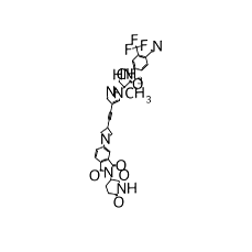 CCC(C)(C(=O)Nc1ccc(C#N)c(C(F)(F)F)c1)n1cc(C#CC2CN(c3ccc4c(c3)C(=O)N(C3CCC(=O)NC3=O)C4=O)C2)cn1